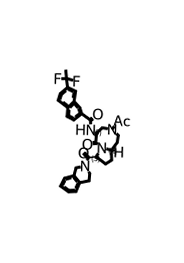 CC(=O)N1CC[C@H]2CC[C@@H](C(=O)N3CCc4ccccc4C3)N2C(=O)[C@@H](NC(=O)c2ccc3ccc(C(C)(F)F)cc3c2)C1